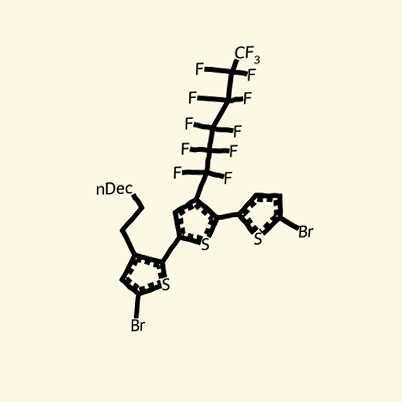 CCCCCCCCCCCCc1cc(Br)sc1-c1cc(C(F)(F)C(F)(F)C(F)(F)C(F)(F)C(F)(F)C(F)(F)F)c(-c2ccc(Br)s2)s1